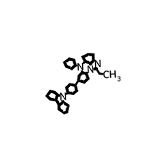 CCc1nc2cccc3c2n1-c1ccc(-c2ccc(-n4c5ccccc5c5ccccc54)cc2)cc1N3c1ccccc1